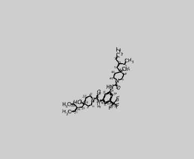 CCC(CC)CC1(O)CCN(C(=O)Nc2cc(NC(=O)N3CCC(O)(CC(CC)CC)CC3)cc(C(F)(F)F)c2)CC1